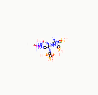 Cc1c(C#N)c(Nc2ccc(Cl)c(S(=O)(=O)O)c2)nc(Nc2ccc(Cl)c(S(=O)(=O)O)c2)c1N=Nc1sc(/N=N/c2cc(S(=O)(=O)O)c3cc(S(=O)(=O)O)cc(S(=O)(=O)O)c3c2)c(-c2ccc(Nc3nc(NCC(C)O)nc(NCC(C)O)n3)cc2)c1C#N